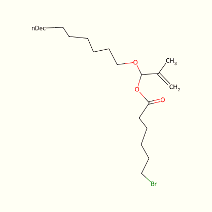 C=C(C)C(OCCCCCCCCCCCCCCCC)OC(=O)CCCCCBr